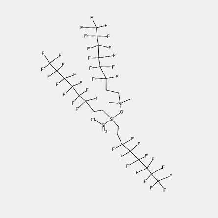 C[Si](C)(CCC(F)(F)C(F)(F)C(F)(F)C(F)(F)C(F)(F)C(F)(F)F)O[Si](CCC(F)(F)C(F)(F)C(F)(F)C(F)(F)C(F)(F)C(F)(F)F)(CCC(F)(F)C(F)(F)C(F)(F)C(F)(F)C(F)(F)C(F)(F)F)[SiH2]Cl